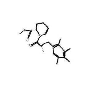 COC(=O)[C@@H]1CCC=CN1C(=O)[C@@H](C)Cc1cc(C)c(C)c(C)c1C